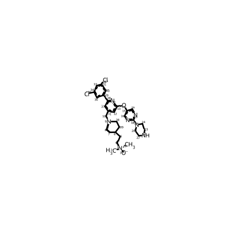 C[N+](C)([O-])CCC1CCN(Cc2cc(Oc3cnc(N4CCNCC4)nc3)nc(-c3cc(Cl)cc(Cl)c3)c2)CC1